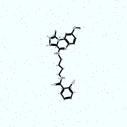 COc1ccc2nc(NCCCCNC(=O)c3ccccc3Cl)c3nnc(C)n3c2c1